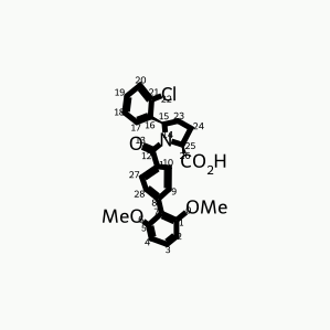 COc1cccc(OC)c1-c1ccc(C(=O)N2[C@@H](c3ccccc3Cl)CC[C@H]2C(=O)O)cc1